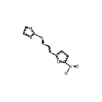 O=[N+]([O-])c1ccc(C=CC=Nc2nccs2)o1